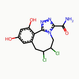 NC(=O)c1nnc2n1CC(Cl)C(Cl)Cc1cc(O)cc(O)c1-2